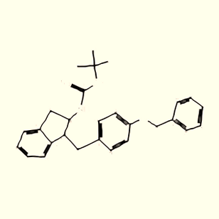 CC(C)(C)OC(=O)NC1Cc2ccccc2C1Cc1ccc(OCc2ccccc2)cc1